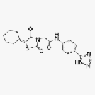 O=C(CN1C(=O)SC(=C2CCCCC2)C1=O)Nc1ccc(-c2ncn[nH]2)cc1